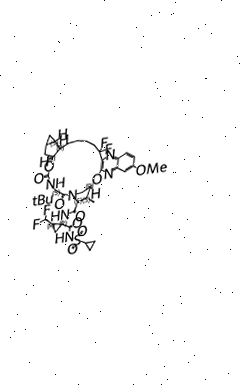 COc1ccc2nc3c(nc2c1)O[C@H]1CN(C(=O)[C@H](C(C)(C)C)NC(=O)O[C@@H]2CC4C[C@@H]4[C@H]2CCCCC3(F)F)[C@H](C(=O)N[C@]2(C(=O)NS(=O)(=O)C3CC3)C[C@H]2C(F)F)[C@@H]1C